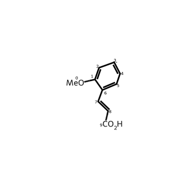 COc1c[c]ccc1/C=C/C(=O)O